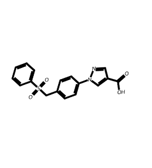 O=C(O)c1cnn(-c2ccc(CS(=O)(=O)c3ccccc3)cc2)c1